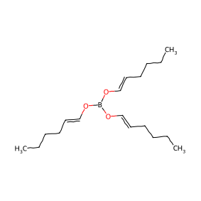 CCCC/C=C/OB(O/C=C/CCCC)O/C=C/CCCC